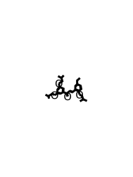 CCc1ccc(OCC(C)C)c(C=CC(=O)c2cc(OCC(C)C)cc(OCC(C)C)c2)c1